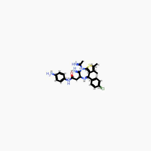 CC(=N)N1C(=N)C(CC(=O)Nc2ccc(N)cc2)N=C(c2ccc(Cl)cc2)c2c1sc(C)c2C